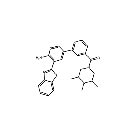 CC1CN(C(=O)c2cccc(-c3cnc(N)c(-c4nc5ccccc5s4)c3)c2)CC(C)N1C